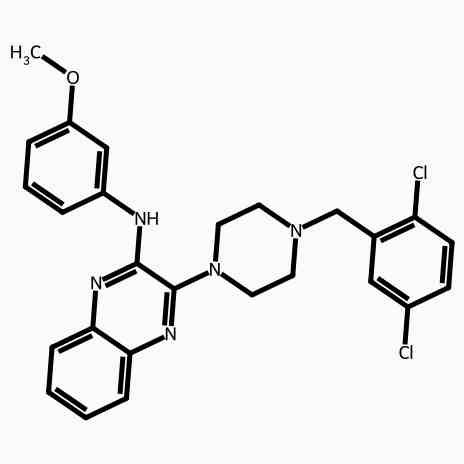 COc1cccc(Nc2nc3ccccc3nc2N2CCN(Cc3cc(Cl)ccc3Cl)CC2)c1